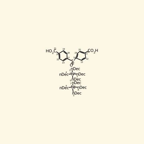 CCCCCCCCCC[N+](CCCCCCCCCC)(CCCCCCCCCC)CCCCCCCCCC.CCCCCCCCCC[N+](CCCCCCCCCC)(CCCCCCCCCC)CCCCCCCCCC.O=C(O)c1ccc([S+]([O-])c2ccc(C(=O)O)cc2)cc1